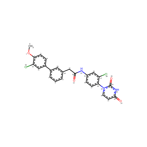 COc1ccc(-c2cccc(CC(=O)Nc3ccc(-n4ccc(=O)[nH]c4=O)c(Cl)c3)c2)cc1Cl